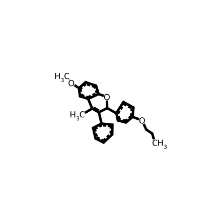 CCCOc1ccc(C2Oc3ccc(OC)cc3C(C)=C2c2ccccc2)cc1